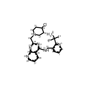 CC(F)(I)c1ncccc1CNc1nc(CN2CCC(Cl)CC2)nc2ncccc12